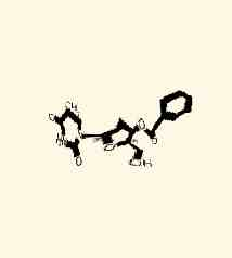 Cc1cn([C@H]2CC(OC(=O)c3ccccc3)[C@@H](CO)O2)c(=O)[nH]c1=O